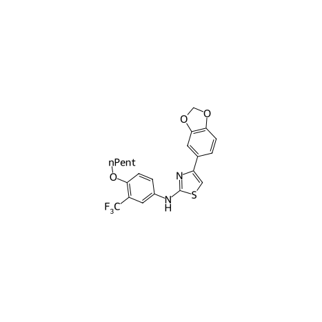 CCCCCOc1ccc(Nc2nc(-c3ccc4c(c3)OCO4)cs2)cc1C(F)(F)F